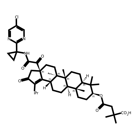 CC(C)C1=C2[C@H]3CC[C@@H]4[C@@]5(C)CC[C@H](OC(=O)CC(C)(C)C(=O)O)C(C)(C)[C@@H]5CC[C@@]4(C)[C@]3(C)CC[C@@]2(C(=O)C(=O)NC2(c3ncc(Cl)cn3)CC2)CC1=O